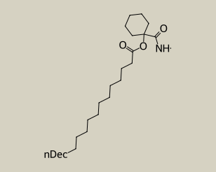 CCCCCCCCCCCCCCCCCCCCCC(=O)OC1(C([NH])=O)CCCCC1